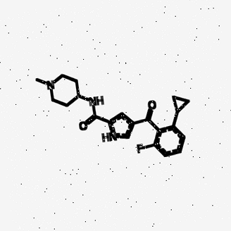 CN1CCC(NC(=O)c2cc(C(=O)c3c(F)cccc3C3CC3)c[nH]2)CC1